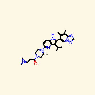 Cc1c(-c2[nH]c3ccc(N4CCN(C(=O)CCN(C)C)C[C@H]4C)nc3c2C(C)C)cn2ncnc2c1C